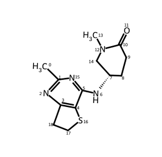 Cc1nc2c(c(N[C@H]3CCC(=O)N(C)C3)n1)SCC2